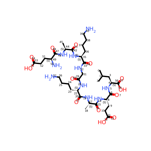 CC(C)C[C@H](NC(=O)[C@H](CCC(=O)O)NC(=O)[C@H](C)NC(=O)[C@H](CCCCN)NC(=O)CNC(=O)[C@H](CCCCN)NC(=O)[C@H](C)NC(=O)[C@@H](N)CCC(=O)O)C(=O)O